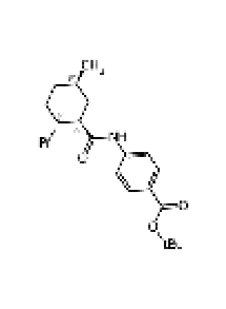 CC(C)[C@@H]1CC[C@@H](C)C[C@H]1C(=O)Nc1ccc(C(=O)OC(C)(C)C)cc1